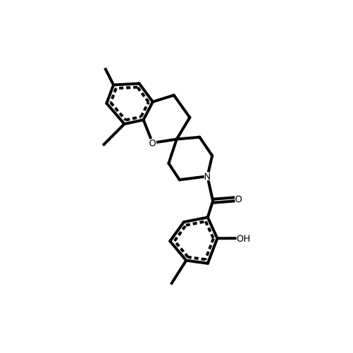 Cc1ccc(C(=O)N2CCC3(CCc4cc(C)cc(C)c4O3)CC2)c(O)c1